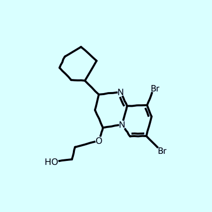 OCCOC1CC(C2CCCCC2)N=C2C(Br)=CC(Br)=CN21